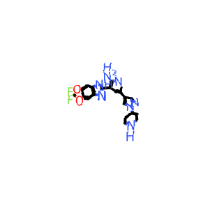 Nc1ncc(-c2cnn(C3CCNCC3)c2)cc1-c1nc2cc3c(cc2[nH]1)OC(F)(F)O3